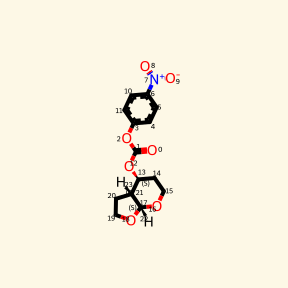 O=C(Oc1ccc([N+](=O)[O-])cc1)O[C@H]1CCO[C@@H]2OCC[C@@H]21